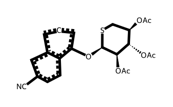 CC(=O)O[C@@H]1[C@@H](OC(C)=O)[C@@H](Oc2cccc3cc(C#N)ccc23)SC[C@H]1OC(C)=O